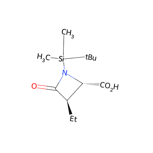 CC[C@H]1C(=O)N([Si](C)(C)C(C)(C)C)[C@@H]1C(=O)O